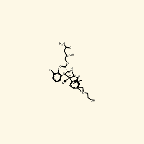 CC(C)(CCOCCO)C[C@@H]1N[C@@H](C(=O)OC[C@@H](O)CC(N)=O)[C@H](c2cccc(Cl)c2F)[C@@]1(C#N)c1ccc(Cl)cc1F